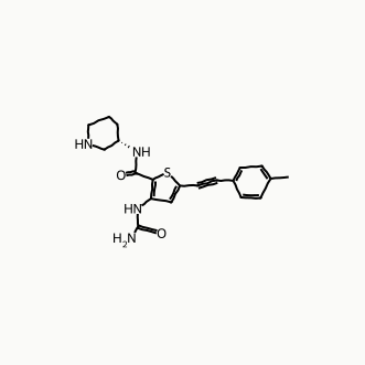 Cc1ccc(C#Cc2cc(NC(N)=O)c(C(=O)N[C@H]3CCCNC3)s2)cc1